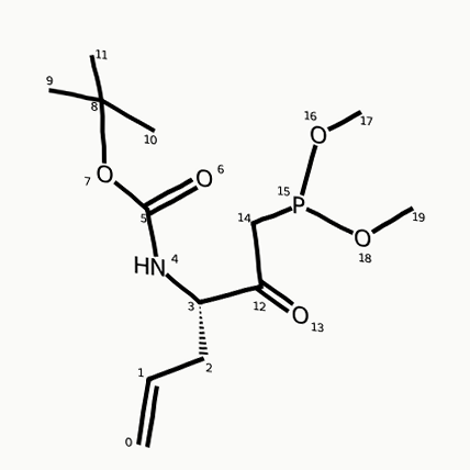 C=CC[C@H](NC(=O)OC(C)(C)C)C(=O)CP(OC)OC